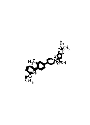 CCOc1cccc(-c2ccc(C3CCN(S(=O)(=O)C4(C(=O)O)CC5OC(C)(C)OC5C4)CC3)cc2C)n1